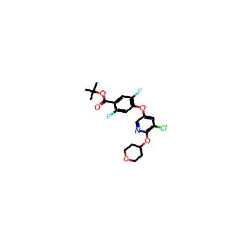 CC(C)(C)OC(=O)c1cc(F)c(Oc2cnc(OC3CCOCC3)c(Cl)c2)cc1F